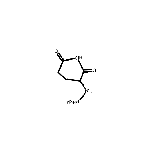 CCCCCNC1CCC(=O)NC1=O